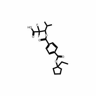 CCC1(OC(=O)c2ccc(C(=O)OC(C(C)C)C(F)(F)C(=O)O)cc2)CCCC1